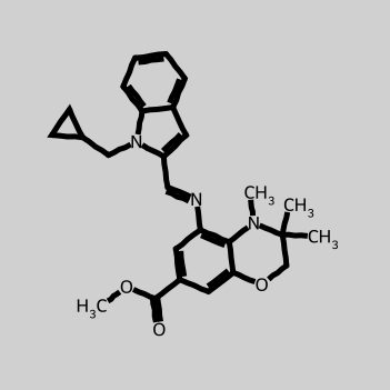 COC(=O)c1cc(/N=C/c2cc3ccccc3n2CC2CC2)c2c(c1)OCC(C)(C)N2C